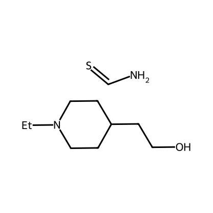 CCN1CCC(CCO)CC1.NC=S